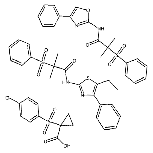 CC(C)(C(=O)Nc1nc(-c2ccccc2)co1)S(=O)(=O)c1ccccc1.CCc1sc(NC(=O)C(C)(C)S(=O)(=O)c2ccccc2)nc1-c1ccccc1.O=C(O)C1(S(=O)(=O)c2ccc(Cl)cc2)CC1